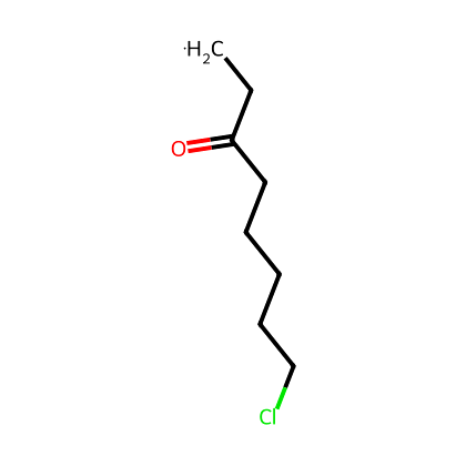 [CH2]CC(=O)CCCCCCl